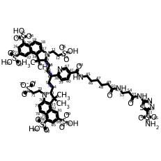 CC1(C)C(/C=C/C(=C/C=C2/N(CCS(=O)(=O)O)c3ccc4c(S(=O)(=O)O)cc(S(=O)(=O)O)cc4c3C2(C)C)c2ccc(C(=O)NCCCCCC(=O)NCCC(=O)Nc3nnc(S(N)(=O)=O)s3)cn2)=[N+](CCS(=O)(=O)[O-])c2ccc3c(S(=O)(=O)O)cc(S(=O)(=O)O)cc3c21